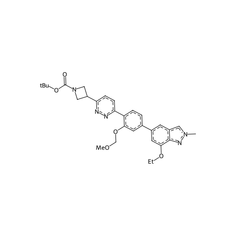 CCOc1cc(-c2ccc(-c3ccc(C4CN(C(=O)OC(C)(C)C)C4)nn3)c(OCOC)c2)cc2cn(C)nc12